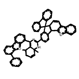 CC1CC=CC2(C)NC(c3ccc4c(c3)C3(c5ccccc5-c5ccccc53)C3C=Cc5c(oc6ccccc56)C43)=NC(c3cccc4c3oc3c(-c5ccccc5)cccc34)=C12